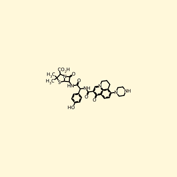 CC1(C)SC2C(NC(=O)C(NC(=O)c3cn4c5c(c(N6CCNCC6)ccc5c3=O)CCC4)c3ccc(O)cc3)C(=O)N2C1C(=O)O